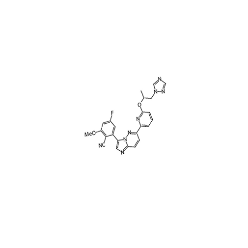 COc1cc(F)cc(-c2cnc3ccc(-c4cccc(OC(C)Cn5cncn5)n4)nn23)c1C#N